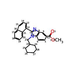 COC(=O)c1ccc2c(c1)nc(-c1cccc3ccccc13)n2CC1CCCCC1